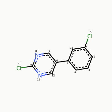 Clc1cccc(-c2cnc(Cl)nc2)c1